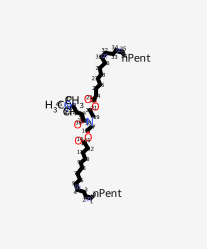 CCCCC/C=C\C/C=C\CCCCCCCC(=O)OCCN(CCOC(=O)CCCCCCC/C=C\C/C=C\CCCCC)C(=O)CCC[N+](C)(C)C